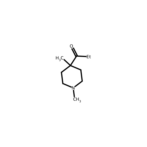 CCC(=O)C1(C)CCN(C)CC1